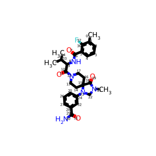 Cc1cccc(C(=O)NC(C(=O)N2CCC3(CC2)C(=O)N(C)CN3c2cccc(C(N)=O)c2)C(C)C)c1F